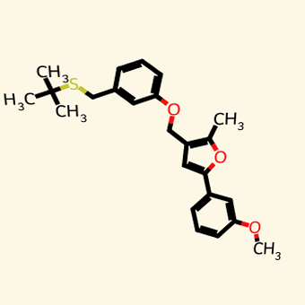 COc1cccc(-c2cc(COc3cccc(CSC(C)(C)C)c3)c(C)o2)c1